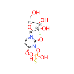 O=c1ccn([C@@H]2O[C@H](CO)[C@@H](O)[C@]2(O)F)c(=O)n1OP(O)(O)=S